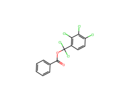 O=C(OC(Cl)(Cl)c1ccc(Cl)c(Cl)c1Cl)c1ccccc1